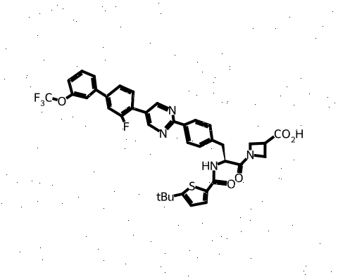 CC(C)(C)c1ccc(C(=O)N[C@@H](Cc2ccc(-c3ncc(-c4ccc(-c5cccc(OC(F)(F)F)c5)cc4F)cn3)cc2)C(=O)N2CC(C(=O)O)C2)s1